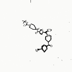 CC(C)(C)OC(=O)N1CCC(NC(=O)c2ccc(C(=O)N3CCC(C(=O)c4ccc(C#N)cc4)CC3)nc2)CC1